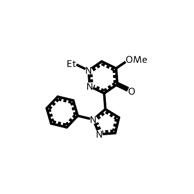 CCn1cc(OC)c(=O)c(-c2ccnn2-c2ccccc2)n1